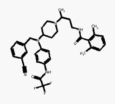 Cc1cccc(C)c1C(=O)NCCC(C)N1CCC(N(Cc2cccc(C#N)c2)c2ccc(NC(=O)C(F)(F)F)cc2)CC1